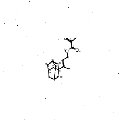 C=C(C)C(=O)OCCC(C)C12CC3CC(CC(C3)C1)C2